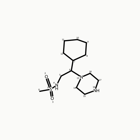 CS(=O)(=O)NCC(C1CCCCC1)N1CCNCC1